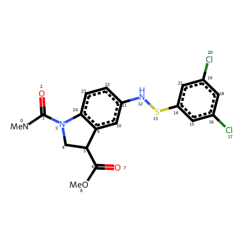 CNC(=O)N1CC(C(=O)OC)c2cc(NSc3cc(Cl)cc(Cl)c3)ccc21